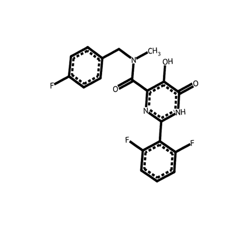 CN(Cc1ccc(F)cc1)C(=O)c1nc(-c2c(F)cccc2F)[nH]c(=O)c1O